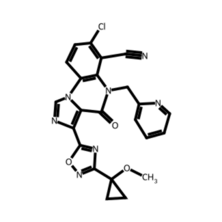 COC1(c2noc(-c3ncn4c3c(=O)n(Cc3ccccn3)c3c(C#N)c(Cl)ccc34)n2)CC1